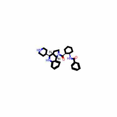 O=C(N[C@@H]1CCCC[C@@H]1C(=O)N1CC[C@@H]2[C@H](C3CCNCC3)Nc3ccccc3[C@@H]21)c1ccccc1